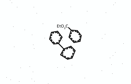 CCOC(=O)c1ccccc1.c1ccc(-c2ccccc2)cc1